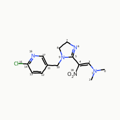 CN(C)/C=C(/C1=NCCN1Cc1ccc(Cl)nc1)[N+](=O)[O-]